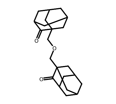 O=C1C2CC3CC(C2)CC1(COCC12CC4CC(CC(C4)C1=O)C2)C3